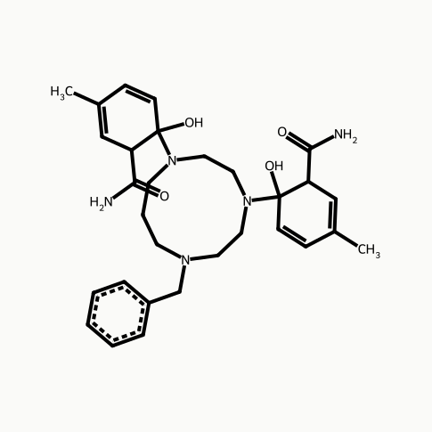 CC1=CC(C(N)=O)C(O)(N2CCCN(Cc3ccccc3)CCN(C3(O)C=CC(C)=CC3C(N)=O)CC2)C=C1